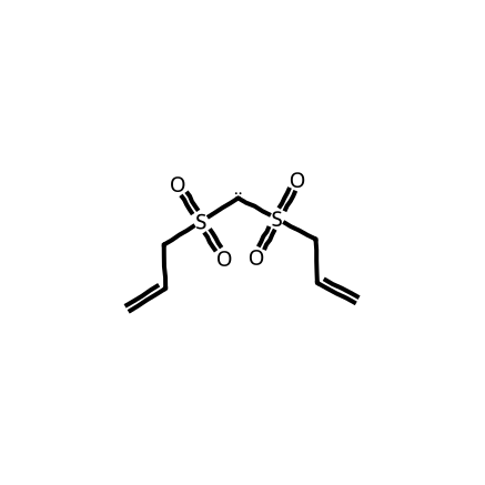 C=CCS(=O)(=O)[C]S(=O)(=O)CC=C